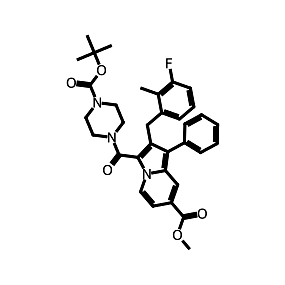 COC(=O)c1ccn2c(C(=O)N3CCN(C(=O)OC(C)(C)C)CC3)c(Cc3cccc(F)c3C)c(-c3ccccc3)c2c1